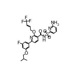 CC(C)COc1cc(F)cc(-c2ccc(C(=O)NS(=O)(=O)c3cccc(N)n3)c(OC/C=C/C(F)(F)F)n2)c1